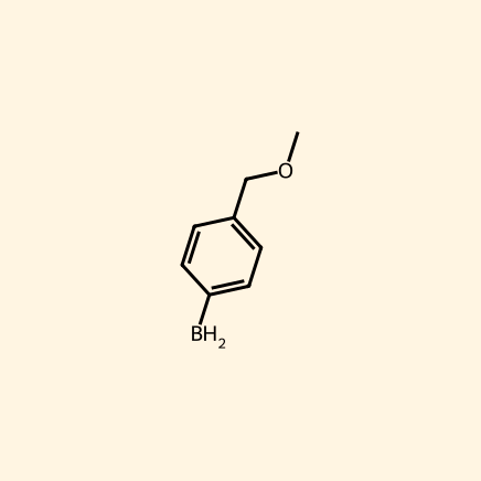 Bc1ccc(COC)cc1